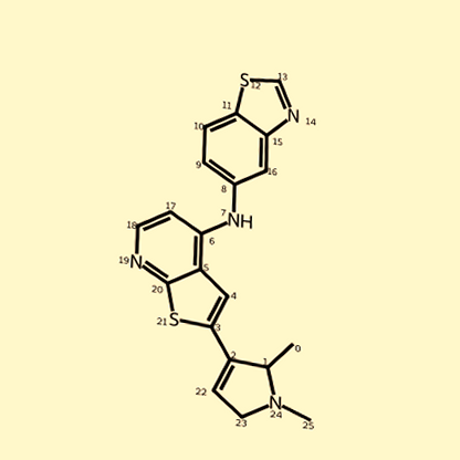 CC1C(c2cc3c(Nc4ccc5scnc5c4)ccnc3s2)=CCN1C